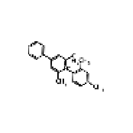 Cc1ccc(-[n+]2c(C)cc(-c3ccccc3)cc2C)c(C)c1